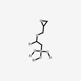 CCO[Si](CC(CC)OCC1CO1)(OCC)OCC